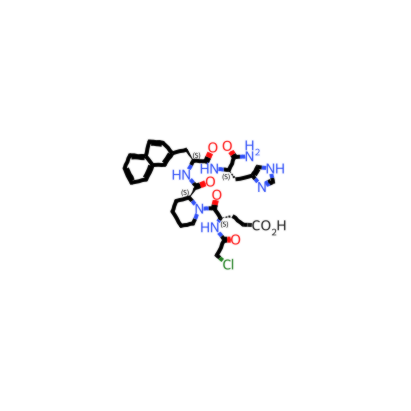 NC(=O)[C@H](Cc1c[nH]cn1)NC(=O)[C@H](Cc1ccc2ccccc2c1)NC(=O)[C@@H]1CCCCN1C(=O)[C@H](CCC(=O)O)NC(=O)CCl